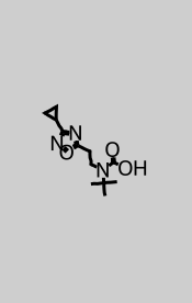 CC(C)(C)N(CCc1nc(C2CC2)no1)C(=O)O